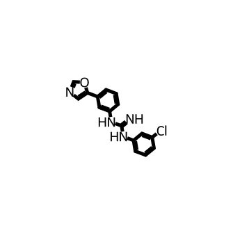 N=C(Nc1cccc(Cl)c1)Nc1cccc(-c2cnco2)c1